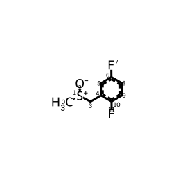 C[S@+]([O-])Cc1cc(F)ccc1F